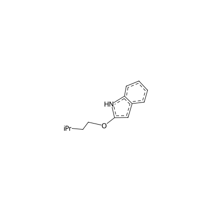 CC(C)CCOc1cc2ccccc2[nH]1